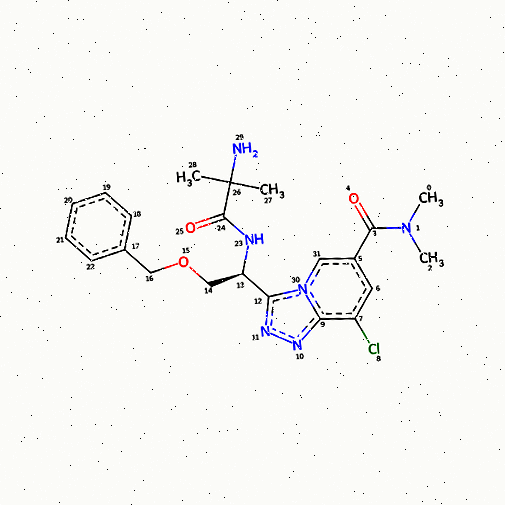 CN(C)C(=O)c1cc(Cl)c2nnc([C@@H](COCc3ccccc3)NC(=O)C(C)(C)N)n2c1